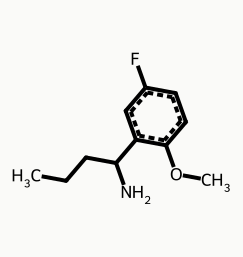 CCCC(N)c1cc(F)ccc1OC